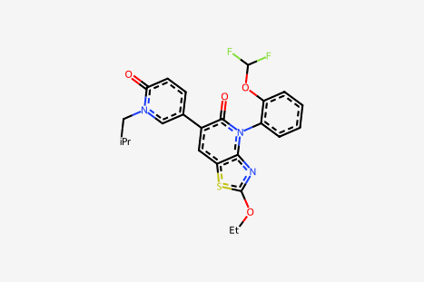 CCOc1nc2c(cc(-c3ccc(=O)n(CC(C)C)c3)c(=O)n2-c2ccccc2OC(F)F)s1